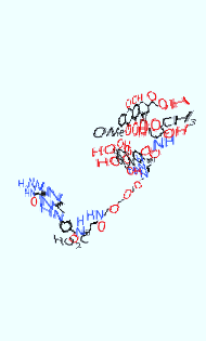 COc1cccc2c1C(=O)c1c(O)c3c(c(O)c1C2=O)CC(C(=O)CO)C[C@@H]3OC1CC(NC(=O)O[C@H](CC2=CN(CCOCCOCCOCCNC(=O)CC[C@H](NC(=O)c3ccc(NCc4cnc5nc(N)[nH]c(=O)c5n4)cc3)C(=O)O)NN2)c2ccc(O[C@@H]3OC(CO)[C@H](O)[C@H](O)C3O)c([N+](=O)[O-])c2)C(O)C(C)O1